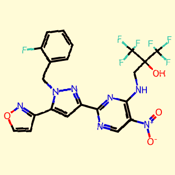 O=[N+]([O-])c1cnc(-c2cc(-c3ccon3)n(Cc3ccccc3F)n2)nc1NCC(O)(C(F)(F)F)C(F)(F)F